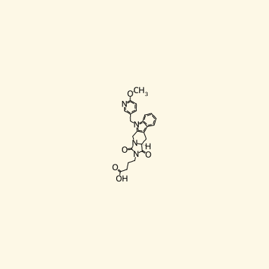 COc1ccc(Cn2c3c(c4ccccc42)C[C@H]2C(=O)N(CCCC(=O)O)C(=O)N2C3)cn1